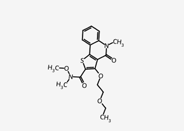 CCOCCOc1c(C(=O)N(C)OC)sc2c1c(=O)n(C)c1ccccc21